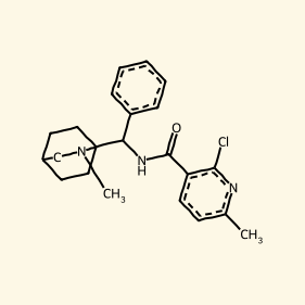 Cc1ccc(C(=O)NC(c2ccccc2)C23CCC(CC2)CN3C)c(Cl)n1